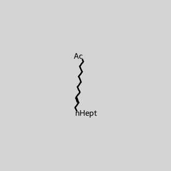 CCCCCCCCC=CCCCCCCCC(C)=O